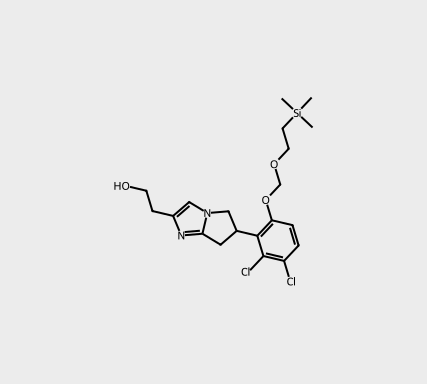 C[Si](C)(C)CCOCOc1ccc(Cl)c(Cl)c1C1Cc2nc(CCO)cn2C1